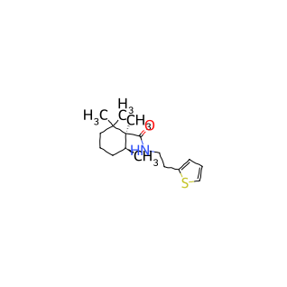 C[C@H]1CCCC(C)(C)[C@@]1(C)C(=O)NCCc1cccs1